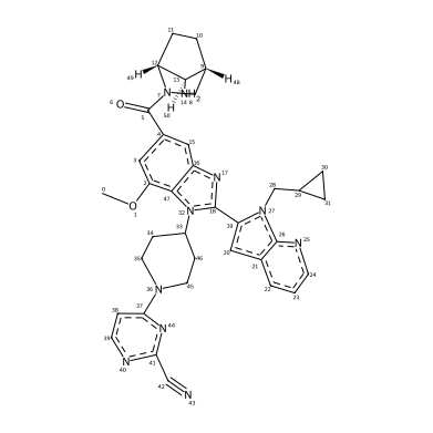 COc1cc(C(=O)N2C[C@H]3CC[C@@H]2[C@@H]3N)cc2nc(-c3cc4cccnc4n3CC3CC3)n(C3CCN(c4ccnc(C#N)n4)CC3)c12